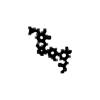 COC(=O)C[C@@H]1CN(c2ccc(-c3nnn(C)c3Cn3ccc(CC4CC4)c(C)c3=O)nc2C)CC(F)(F)C1